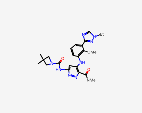 CCn1cnc(-c2cccc(Nc3cc(NC(=O)N4CC(C)(C)C4)nnc3C(=O)NC)c2OC)n1